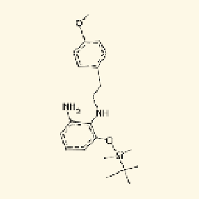 COc1ccc(CCNc2c(N)cccc2O[Si](C)(C)C(C)(C)C)cc1